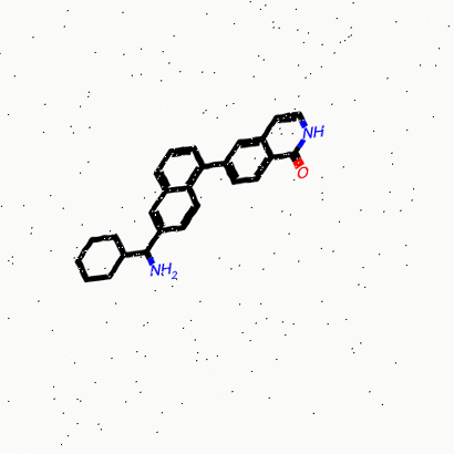 NC(c1ccc2c(-c3ccc4c(=O)[nH]ccc4c3)cccc2c1)C1CCCCC1